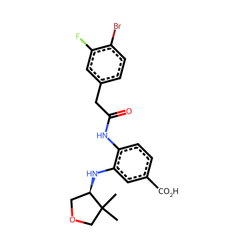 CC1(C)COC[C@H]1Nc1cc(C(=O)O)ccc1NC(=O)Cc1ccc(Br)c(F)c1